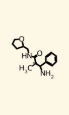 C[C@@H](C(=O)NCC1CCCO1)C(N)c1ccccc1